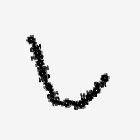 CN(CC(=O)NCCN1CCN(CCNC(=O)c2ccc3nc(-c4ccc(-c5nc6ccc(C(=O)NCCN7CCCCC7)cc6[nH]5)cc4)[nH]c3c2)CC1)CC(=O)NCCN1CCN(CCNC(=O)c2ccc3nc(-c4ccc(-c5nc6ccc(C(=O)NCCN7CCCCC7)cc6[nH]5)cc4)[nH]c3c2)CC1